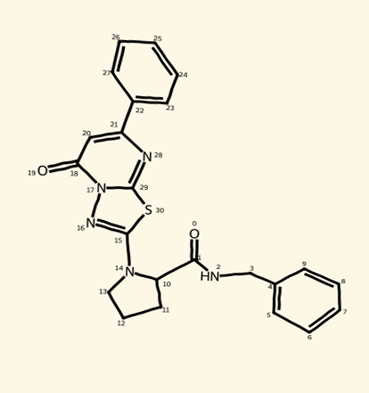 O=C(NCc1ccccc1)C1CCCN1c1nn2c(=O)cc(-c3ccccc3)nc2s1